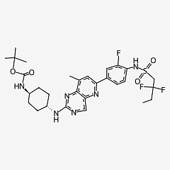 CCC(F)(F)CS(=O)(=O)Nc1ccc(-c2cc(C)c3nc(N[C@H]4CC[C@H](NC(=O)OC(C)(C)C)CC4)ncc3n2)cc1F